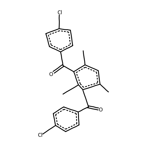 Cc1cc(C)c(C(=O)c2ccc(Cl)cc2)c(C)c1C(=O)c1ccc(Cl)cc1